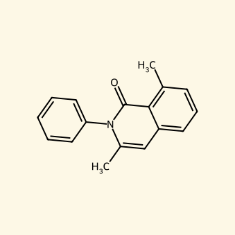 Cc1cccc2cc(C)n(-c3ccccc3)c(=O)c12